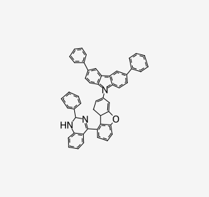 C1=C2Oc3cccc(C4=NC(c5ccccc5)Nc5ccccc54)c3C2CC=C1n1c2ccc(-c3ccccc3)cc2c2cc(-c3ccccc3)ccc21